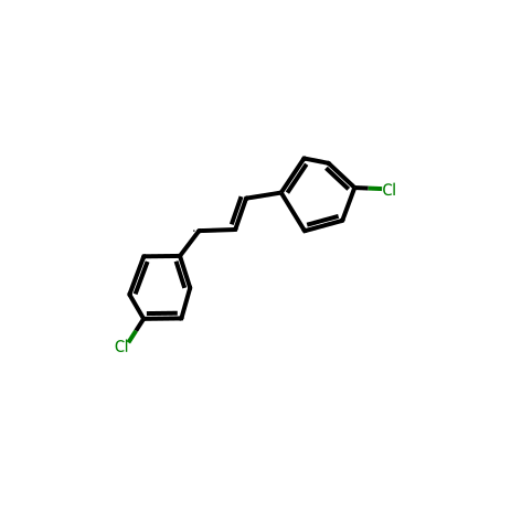 Clc1ccc([CH]C=Cc2ccc(Cl)cc2)cc1